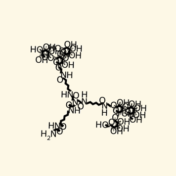 NCC(=O)NC(=O)CCCCCNC(=O)CN(CC(=O)NCCCCCC(=O)NCCO[C@H]1O[C@H](CO[C@H]2O[C@H](CO)[C@@H](O)[C@H](O)[C@@H]2O)[C@@H](O)[C@H](O[C@H]2O[C@H](CO)[C@@H](O)[C@H](O)[C@@H]2O)[C@@H]1O)CC(=O)NCCCCCC(=O)NCCO[C@H]1O[C@H](CO[C@H]2O[C@H](CO)[C@@H](O)[C@H](O)[C@@H]2O)[C@@H](O)[C@H](O[C@H]2O[C@H](CO)C(O)[C@H](O)[C@@H]2O)[C@@H]1O